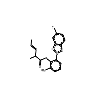 CC=CC(C)C(=O)Oc1c(-n2nc3ccc(Cl)cc3n2)cccc1C(C)(C)C